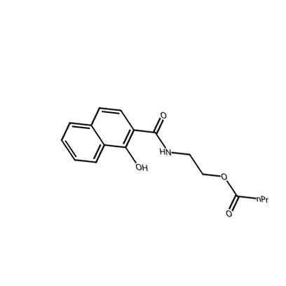 CCCC(=O)OCCNC(=O)c1ccc2ccccc2c1O